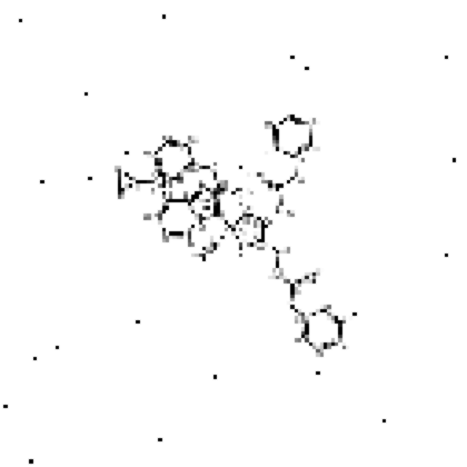 N#C[C@@]1(c2ccc3c(NC4CC4)ncnn23)O[C@H](COC(=O)Cc2ccccc2)[C@@H](OC(=O)Cc2ccccc2)[C@H]1OC(=O)Cc1ccccc1